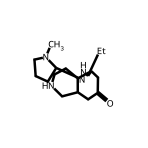 CCC1NN(C2CCCN2C)C23CCNCC2CC(=O)CC13